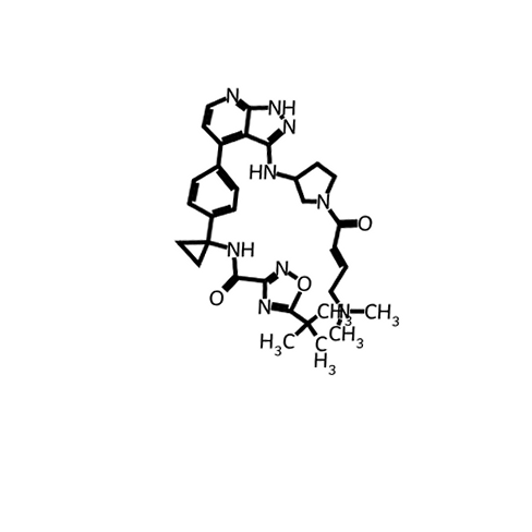 CN(C)CC=CC(=O)N1CCC(Nc2n[nH]c3nccc(-c4ccc(C5(NC(=O)c6noc(C(C)(C)C)n6)CC5)cc4)c23)C1